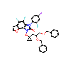 O=c1n(OC2(CC(COCc3ccccc3)OCc3ccccc3)CC2)c2c3occc3c(F)c(F)c2n1-c1ccc(I)cc1F